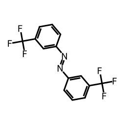 FC(F)(F)c1cccc(N=Nc2cccc(C(F)(F)F)c2)c1